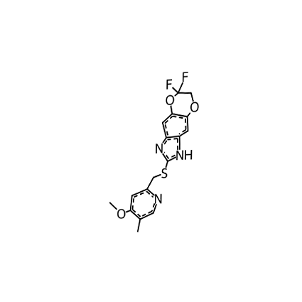 COc1cc(CSc2nc3cc4c(cc3[nH]2)OCC(F)(F)O4)ncc1C